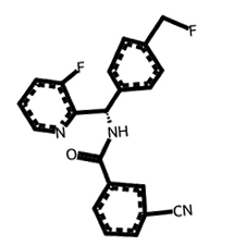 N#Cc1cccc(C(=O)N[C@@H](c2ccc(CF)cc2)c2ncccc2F)c1